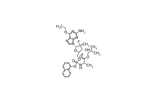 CCOc1nc(N)nc2c1ncn2[C@H]1O[C@](F)(COP(=O)(NC(C)C(=O)OCC(C)C)Oc2cccc3ccccc23)[C@@H](O)[C@@]1(C)F